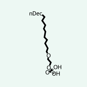 CCCCCCCCCCCCCCCCCCCCOCCOP(=O)(O)O